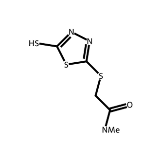 CNC(=O)CSc1nnc(S)s1